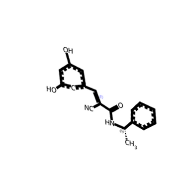 C[C@H](NC(=O)/C(C#N)=C/c1cc(O)cc(O)c1)c1ccccc1